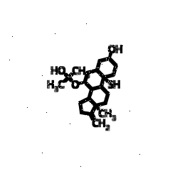 C=C1CCC2C3C(CC[C@]12C)[C@@]1(S)CC[C@H](O)CC1C[C@@H]3OC(C)(C)O